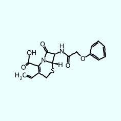 C=CC1=C(C(=O)O)N2C(=O)[C@@H](NC(=O)COc3ccccc3)[C@@H]2SC1